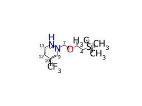 C[Si](C)(C)CCOCN1C=C(C(F)(F)F)C=CN1